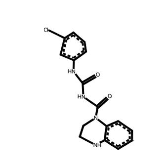 O=C(NC(=O)N1CCNc2c[c]ccc21)Nc1cccc(Cl)c1